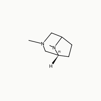 CN1CC2CC[C@H](C1)N2C